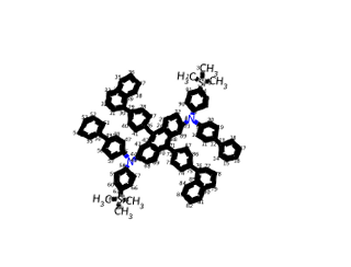 C[Si](C)(C)c1ccc(N(c2ccc(-c3ccccc3)cc2)c2ccc3c(-c4ccc(-c5cccc6ccccc56)cc4)c4cc(N(c5ccc(-c6ccccc6)cc5)c5ccc([Si](C)(C)C)cc5)ccc4c(-c4ccc(-c5cccc6ccccc56)cc4)c3c2)cc1